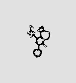 Cc1noc(-c2cc(-c3ccccc3)c(=O)n3c2-c2sccc2SCC3)n1